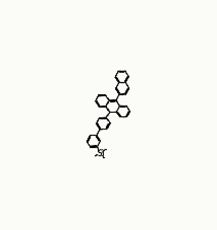 C[Si](C)(C)c1cccc(-c2ccc(C3c4ccccc4C(c4ccc5ccccc5c4)=C4C=CC=CC43)cc2)c1